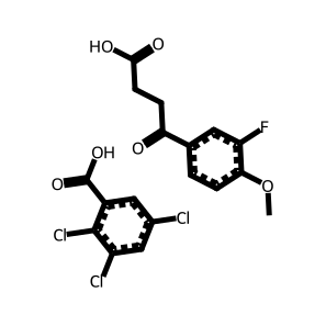 COc1ccc(C(=O)CCC(=O)O)cc1F.O=C(O)c1cc(Cl)cc(Cl)c1Cl